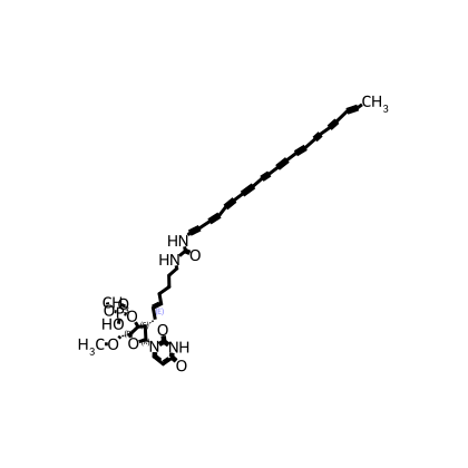 CC#CC#CC#CC#CC#CC#CC#CC#CC#CC#CNC(=O)NCCCC/C=C/C[C@H]1C(OP(=O)(O)OC)[C@@H](COC)O[C@H]1n1ccc(=O)[nH]c1=O